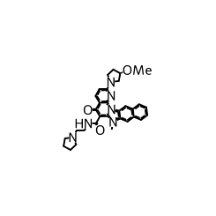 CO[C@@H]1CCN(c2ccc3c(=O)c(C(=O)NCCN4CCCC4)c4n(C)c5cc6ccccc6cc5n4c3n2)C1